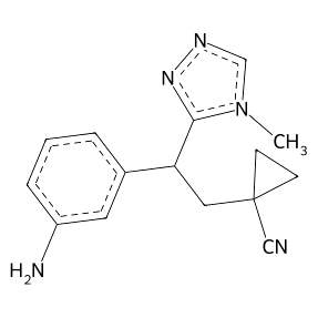 Cn1cnnc1C(CC1(C#N)CC1)c1cccc(N)c1